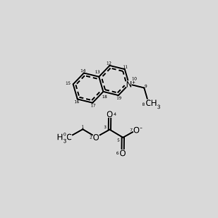 CCOC(=O)C(=O)[O-].CC[n+]1ccc2ccccc2c1